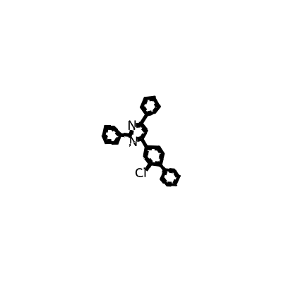 Clc1cc(-c2cc(-c3ccccc3)nc(-c3ccccc3)n2)ccc1-c1ccccc1